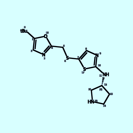 CC(C)(C)c1cnc(CSc2cnc(N[C@@H]3CCNC3)s2)o1